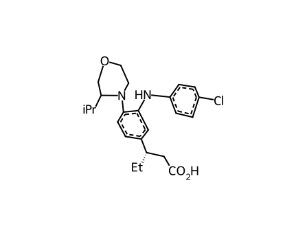 CC[C@@H](CC(=O)O)c1ccc(N2CCOCC2C(C)C)c(Nc2ccc(Cl)cc2)c1